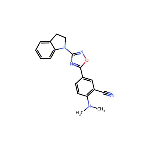 CN(C)c1ccc(-c2nc(N3CCc4ccccc43)no2)cc1C#N